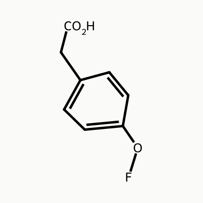 O=C(O)Cc1ccc(OF)cc1